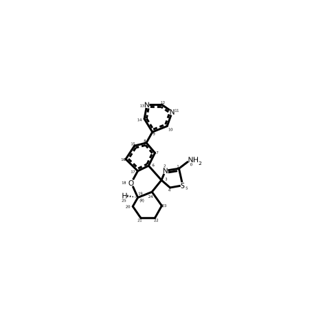 NC1=NC2(CS1)c1cc(-c3cncnc3)ccc1O[C@@H]1CCCCC12